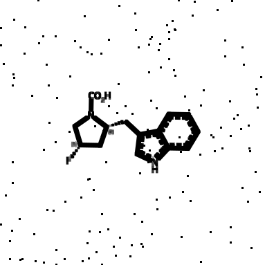 O=C(O)N1C[C@@H](F)C[C@H]1Cc1c[nH]c2ccccc12